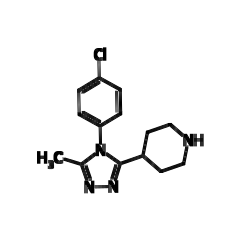 Cc1nnc(C2CCNCC2)n1-c1ccc(Cl)cc1